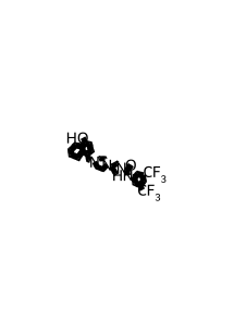 O=C(Nc1cc(C(F)(F)F)cc(C(F)(F)F)c1)N1CC(N2CCN(Cc3ccc(O)c4ccccc34)CC2)C1